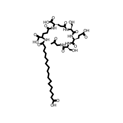 CC(=O)CNC(=O)[C@H](CO)NC(=O)[C@H](CCC(=O)O)NC(=O)[C@H](CO)NC(=O)CC[C@H](NC(=O)CCC(NC(=O)CCCCCCCCCCCCCCCCC(=O)O)C(=O)O)C(=O)O